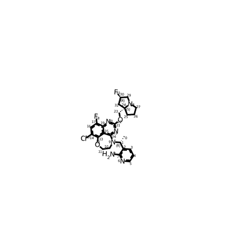 C[C@H](c1cccnc1N)N1CCOc2c(Cl)cc(F)c3nc(OC[C@@]45CCCN4C[C@H](F)C5)nc1c23